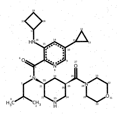 CC(C)CN(C(=O)c1ncc(C2CC2)cc1NC1CCC1)[C@@H]1CNC[C@H](C(=O)N2CCOCC2)C1